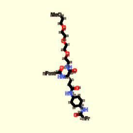 CCCCCC(=O)N[C@@H](CCC(=O)NC1CCC(NC(=O)CCC)CC1)C(=O)NCCOCCOCCOCCOC